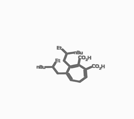 CCCCC(CC)CC1=CCC=C(C(=O)O)C(C(=O)O)=C1CC(CC)CCCC